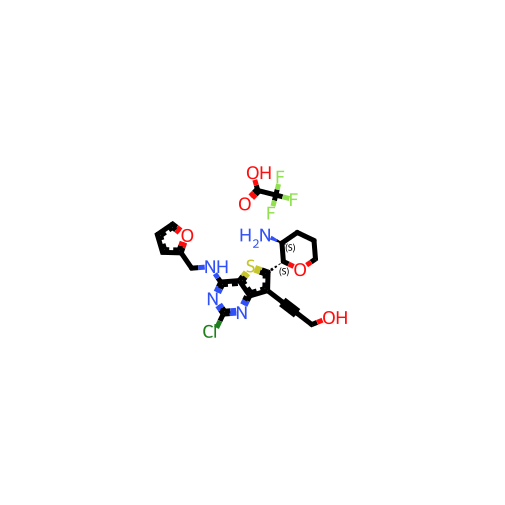 N[C@H]1CCCO[C@@H]1c1sc2c(NCc3ccco3)nc(Cl)nc2c1C#CCO.O=C(O)C(F)(F)F